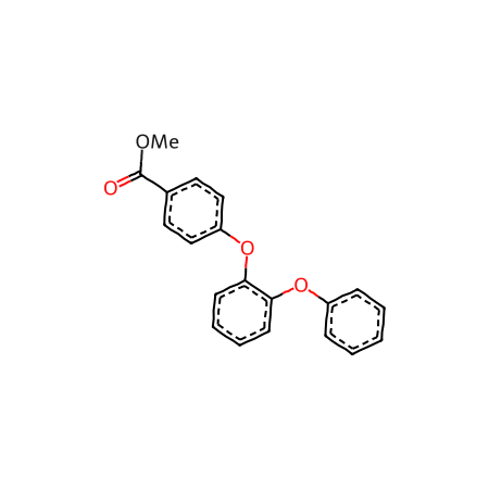 COC(=O)c1ccc(Oc2ccccc2Oc2ccccc2)cc1